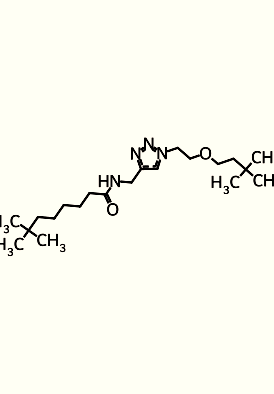 CC(C)(C)CCCCCC(=O)NCc1cn(CCOCCC(C)(C)C)nn1